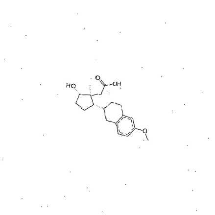 COc1ccc2c(c1)CCC([C@@H]1CC[C@H](O)[C@@]1(C)CC(=O)O)C2